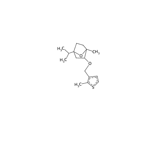 Cc1sccc1COC1CC2(C(C)C)CCC1(C)O2